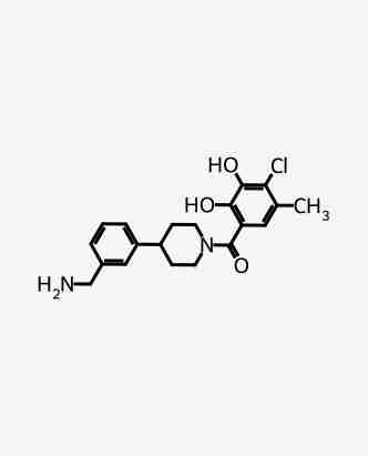 Cc1cc(C(=O)N2CCC(c3cccc(CN)c3)CC2)c(O)c(O)c1Cl